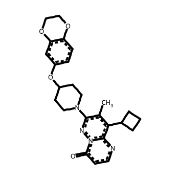 Cc1c(N2CCC(Oc3ccc4c(c3)OCCO4)CC2)nn2c(=O)ccnc2c1C1CCC1